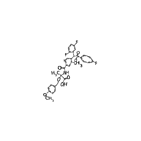 COc1ccc(COC(C)(NC(=O)c2cc(C)c(C(c3cc(F)ccc3F)S(=O)(=O)c3ccc(F)cc3)cn2)C(=O)O)cc1